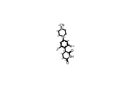 N#CB1CCN(c2cc(F)c(C3CCC(=O)NC3=O)c(F)c2)CC1